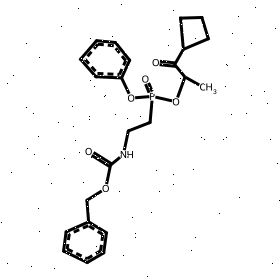 CC(OP(=O)(CCNC(=O)OCc1ccccc1)Oc1ccccc1)C(=O)C1CCC1